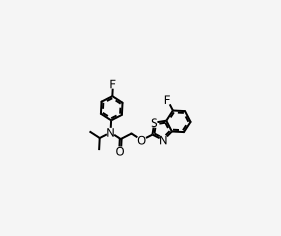 CC(C)N(C(=O)COc1nc2cccc(F)c2s1)c1ccc(F)cc1